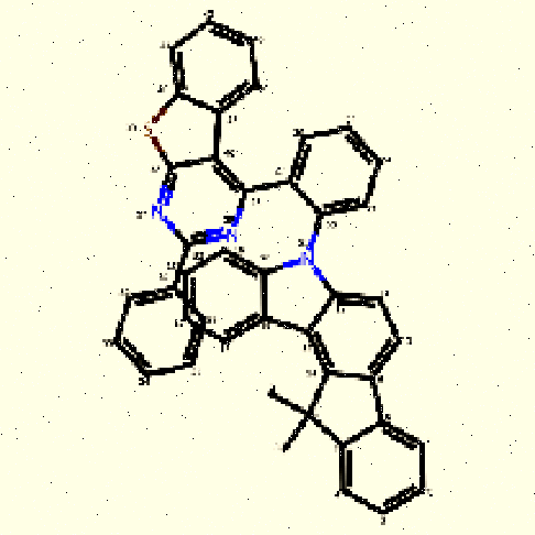 CC1(C)c2ccccc2-c2ccc3c(c21)c1ccccc1n3-c1ccccc1-c1nc(-c2ccccc2)nc2sc3ccccc3c12